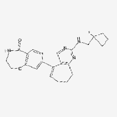 O=C1NCCOc2cc(C3=CCCCc4nc(NCC5(F)CCC5)ncc43)ccc21